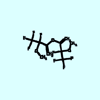 C=C(OC(=C)C(F)(OC)C(F)(F)F)C(F)(OC)C(F)(F)F